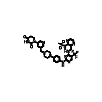 CN(c1nccnc1CNc1nc(Nc2ccc(N3CCN(Cc4cncc(N5CCC(=O)NC5=O)c4)CC3)cc2)ncc1C(F)(F)F)S(C)(=O)=O